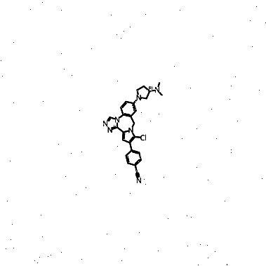 CN(C)[C@@H]1CCN(c2ccc3c(c2)Cn2c(cc(-c4ccc(C#N)cc4)c2Cl)-c2nncn2-3)C1